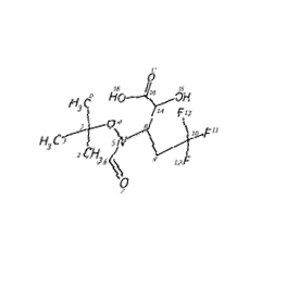 CC(C)(C)ON(C=O)C(CC(F)(F)F)C(O)C(=O)O